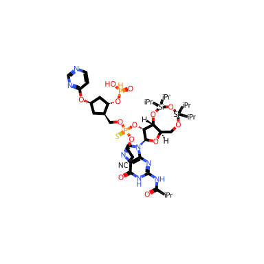 CC(C)C(=O)Nc1nc2c(ncn2[C@@H]2O[C@@H]3CO[Si](C(C)C)(C(C)C)O[Si](C(C)C)(C(C)C)O[C@H]3[C@H]2OP(=S)(OCCC#N)OC[C@H]2C[C@@H](Oc3ccncn3)C[C@@H]2O[PH](=O)O)c(=O)[nH]1